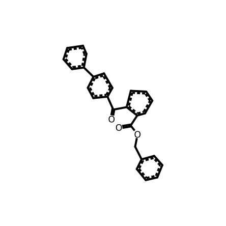 O=C(OCc1ccccc1)c1ccccc1C(=O)c1ccc(-c2ccccc2)cc1